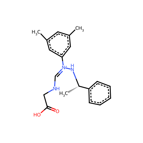 Cc1cc(C)cc([N+](=CNCC(=O)O)N[C@@H](C)c2ccccc2)c1